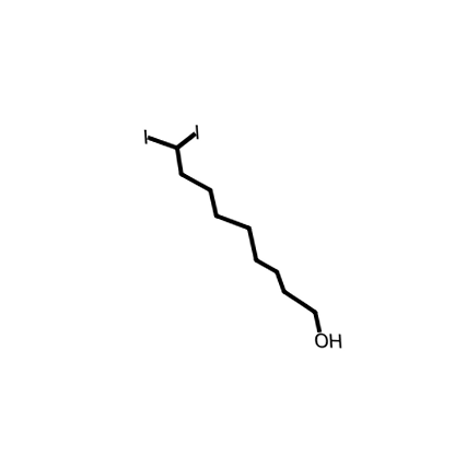 OCCCCCCCCC(I)I